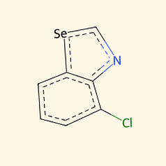 Clc1cccc2[se]cnc12